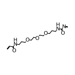 C=CC(=O)NCCCOCCOCCOCCCNC(=O)N=C